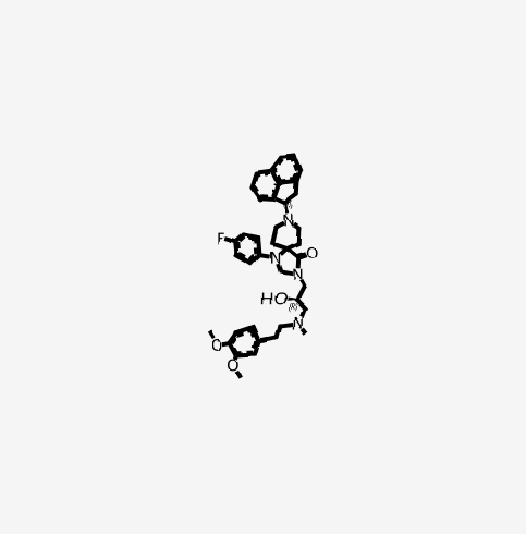 COc1ccc(CCN(C)C[C@@H](O)CN2CN(c3ccc(F)cc3)C3(CCN([C@@H]4Cc5cccc6cccc4c56)CC3)C2=O)cc1OC